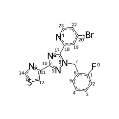 Fc1ccccc1Cn1nc(-c2cscn2)nc1-c1cc(Br)ccn1